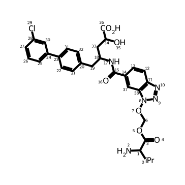 CC(C)C(N)C(=O)OCOn1nnc2ccc(C(=O)NC(Cc3ccc(-c4cccc(Cl)c4)cc3)CC(O)C(=O)O)cc21